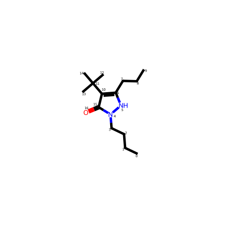 CCCCn1[nH]c(CCC)c(C(C)(C)C)c1=O